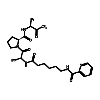 CC(C)[C@H](NC(=O)CCCCCNC(=O)c1ccccn1)C(=O)N1CCC[C@@H]1C(=O)N[C@H](C(=O)C(F)(F)F)C(C)C